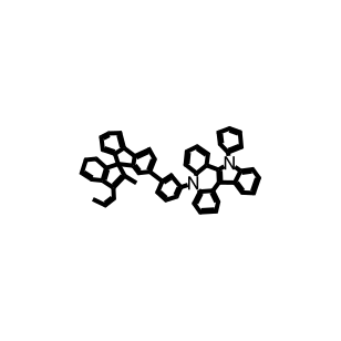 C/C=C\C1=C(C)C2(C3=C1C=CCC3)c1ccccc1-c1ccc(-c3cccc(N4c5ccccc5-c5c(n(-c6ccccc6)c6ccccc56)C5C=CC=CC54)c3)cc12